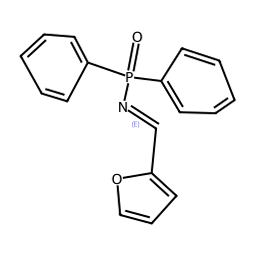 O=P(/N=C/c1ccco1)(c1ccccc1)c1ccccc1